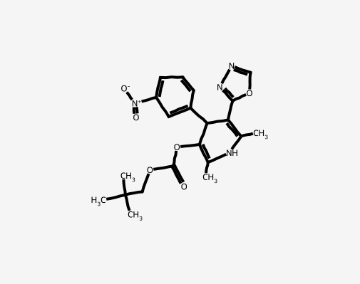 CC1=C(OC(=O)OCC(C)(C)C)C(c2cccc([N+](=O)[O-])c2)C(c2nnco2)=C(C)N1